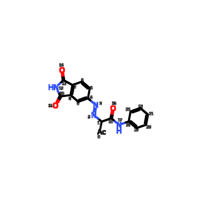 CC(=O)C(N=Nc1ccc2c(c1)C(=O)NC2=O)C(=O)Nc1ccccc1